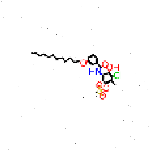 CCCCCCCCCCCCOc1cccc(C(=O)Nc2cc(OS(C)(=O)=O)c(C)c(Cl)c2O)c1